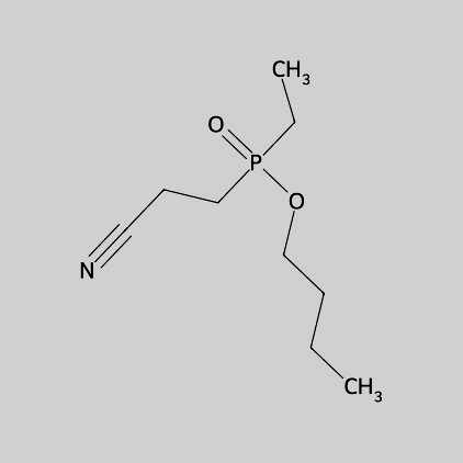 CCCCOP(=O)(CC)CCC#N